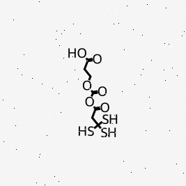 O=C(O)CCOC(=O)OC(=O)CC(S)(S)S